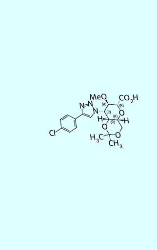 CO[C@@H]1[C@@H](n2cc(-c3ccc(Cl)cc3)nn2)[C@H]2OC(C)(C)OC[C@H]2O[C@H]1C(=O)O